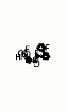 O=C([C@@H]1C[C@H]1c1ccccc1-c1c(F)cccc1F)N1CC[C@H](NS(=O)(=O)CF)C1